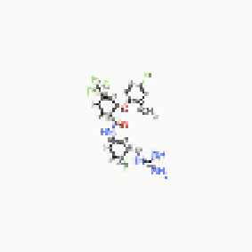 Cc1cc(F)ccc1Oc1cc(C(F)(F)F)ccc1C(=O)Nc1ccc(F)c(CNC(=N)N)c1